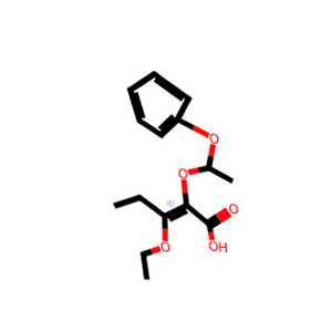 CCO/C(CC)=C(/OC(C)Oc1ccccc1)C(=O)O